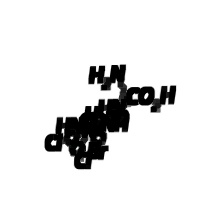 NCCCC[C@@H](CNC(=O)CNC(=O)c1ccc(Br)cc1NC1(Cc2cccc(Cl)c2)C(=O)Nc2cc(Cl)ccc21)C(=O)O